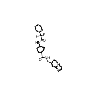 O=C(NCc1ccn2ccnc2c1)c1ccc(NC(=O)C(F)(F)c2ccccc2)cc1